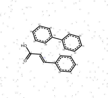 O=C(O)/C=C/c1ccccc1.c1ccc(-c2ccccc2)cc1